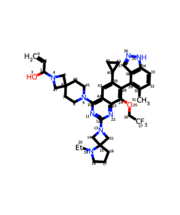 C=CC(O)N1CC2(CCN(c3nc(N4CC5(CCCN5CC)C4)nc4c(OCC(F)(F)F)c(-c5c(C)ccc6[nH]ncc56)c(C5CC5)cc34)CC2)C1